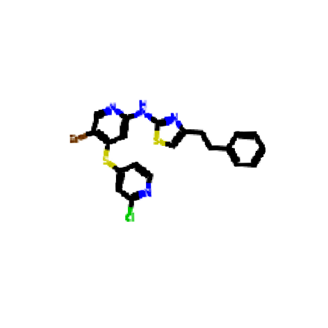 Clc1cc(Sc2cc(Nc3nc(CCc4ccccc4)cs3)ncc2Br)ccn1